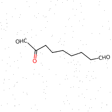 O=CCCCCCCC(=O)C=O